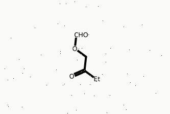 CCC(=O)CO[C]=O